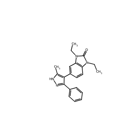 CCn1c(=O)n(CC)c2cc(-c3c(-c4ccccc4)n[nH]c3C)ccc21